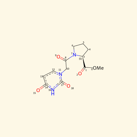 COC(=O)[C@@H]1CCCN1C(=O)Cn1ccc(=O)[nH]c1=O